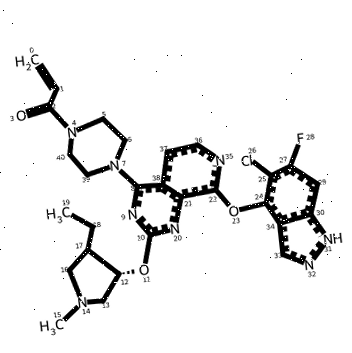 C=CC(=O)N1CCN(c2nc(O[C@@H]3CN(C)CC3CC)nc3c(Oc4c(Cl)c(F)cc5[nH]ncc45)nccc23)CC1